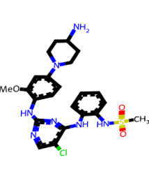 COc1cc(N2CCC(N)CC2)ccc1Nc1ncc(Cl)c(Nc2ccccc2NS(C)(=O)=O)n1